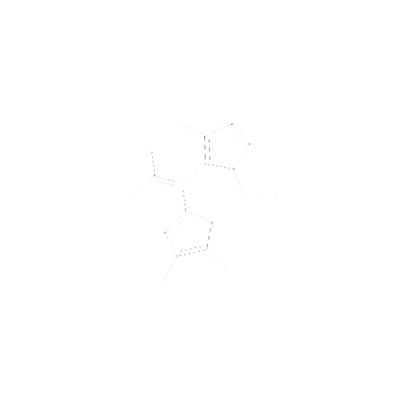 CC1=C(C)C[C]([Zr+2]([C]2=C(C)C=CC2C)=[C](C)C)=C1.[Cl-].[Cl-]